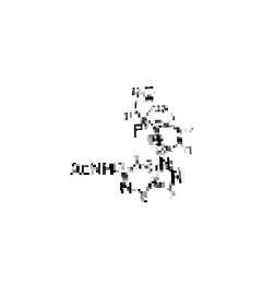 CC(=O)Nc1cc2c(cn1)cnn2-c1cccc([C@@]2(F)CCOC2)n1